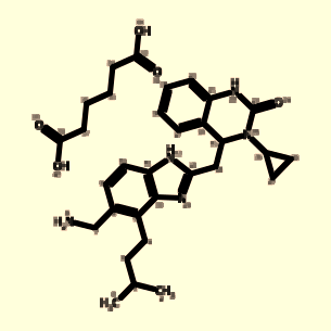 CC(C)CCc1c(CN)ccc2[nH]c(CC3c4ccccc4NC(=O)N3C3CC3)nc12.O=C(O)CCCCC(=O)O